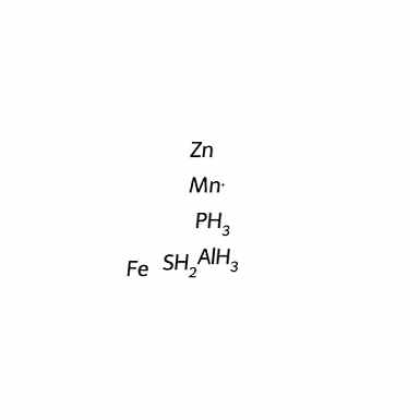 P.S.[AlH3].[Fe].[Mn].[Zn]